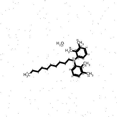 CCCCCCCCCCN(c1cccc(C)c1C)c1cccc(C)c1C.O